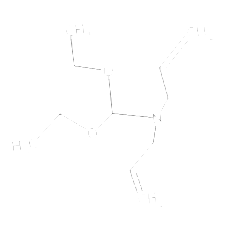 C=CCN(CC=C)C(OCC)OCC